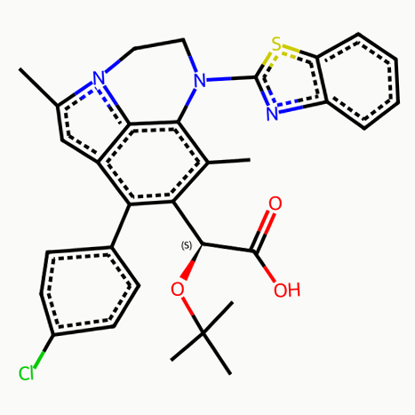 Cc1c([C@H](OC(C)(C)C)C(=O)O)c(-c2ccc(Cl)cc2)c2cc(C)n3c2c1N(c1nc2ccccc2s1)CC3